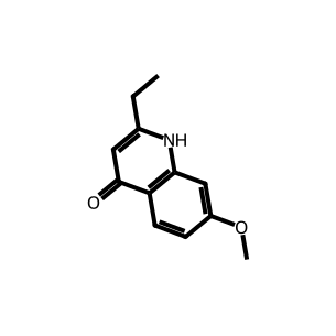 CCc1cc(=O)c2ccc(OC)cc2[nH]1